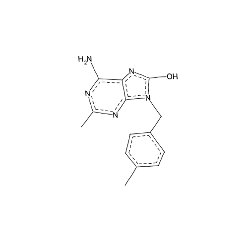 Cc1ccc(Cn2c(O)nc3c(N)nc(C)nc32)cc1